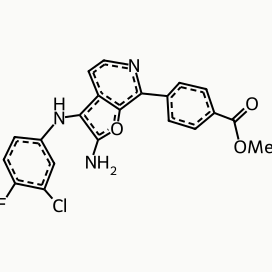 COC(=O)c1ccc(-c2nccc3c(Nc4ccc(F)c(Cl)c4)c(N)oc23)cc1